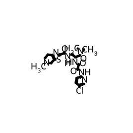 CN1CCc2nc(C(=O)NCC(NC(=O)C(=O)Nc3ccc(Cl)cn3)C(=O)N(C)C)sc2C1